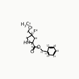 COC[C@]1(F)CN[C@H](C(=O)OCc2ccccc2)C1